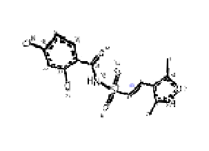 Cc1noc(C)c1/C=C/S(=O)(=O)NC(=O)c1ccc(Cl)cc1Cl